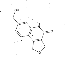 O=c1[nH]c2cc(CO)ccc2c2c1COC2